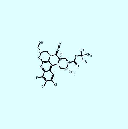 C[C@@H]1CN2c3c4c(nc5c(F)c(Br)c(Cl)cc35)O[C@H](CO)CN4C(=C=O)[C@H]2CN1C(=O)OC(C)(C)C